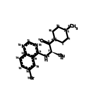 CN1CCN(C(=O)[C@@H](Nc2ncnc3ccc(Br)cc23)C(C)(C)C)CC1